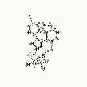 [2H]C([2H])([2H])C1(C([2H])([2H])[2H])Cn2nc(-c3ccc(F)cn3)c(-c3c(F)cnc4[nH]ccc34)c2CO1